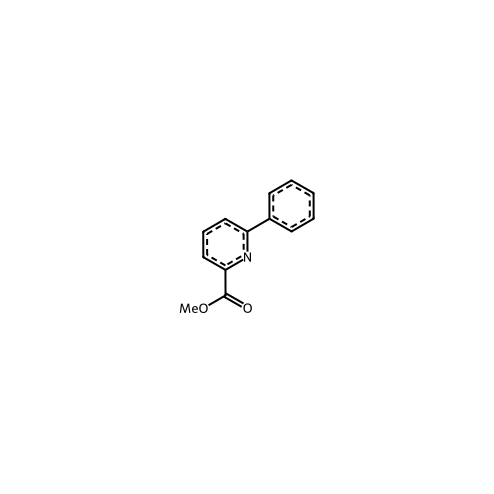 COC(=O)c1cccc(-c2ccccc2)n1